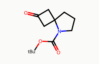 CC(C)(C)OC(=O)N1CCCC12CC(=O)C2